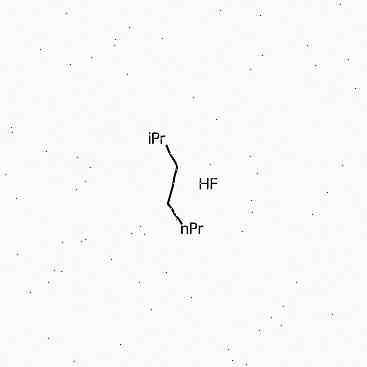 CCCCCC(C)C.F